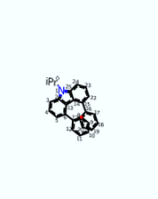 CC(C)n1c2cccc(-c3ccccc3)c2c2c(-c3ccccc3)cccc21